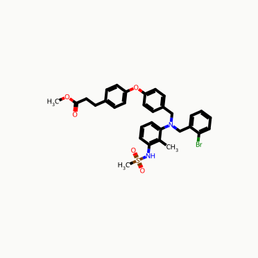 COC(=O)CCc1ccc(Oc2ccc(CN(Cc3ccccc3Br)c3cccc(NS(C)(=O)=O)c3C)cc2)cc1